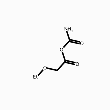 CCOCC(=O)OC(N)=O